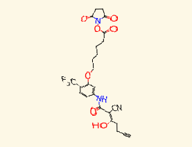 C#CCC/C(O)=C(\C#N)C(=O)Nc1ccc(C(F)(F)F)c(OCCCCCC(=O)ON2C(=O)CCC2=O)c1